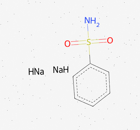 NS(=O)(=O)c1ccccc1.[NaH].[NaH]